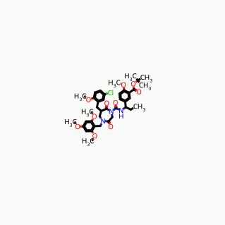 CCC(NC(=O)N1CC(=O)N(Cc2c(OC)cc(OC)cc2OC)CC(Cc2cc(Cl)ccc2OC)C1=O)c1ccc(OC)c(C(=O)OC(C)(C)C)c1